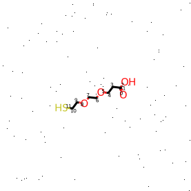 O=C(O)CCOCCOCCS